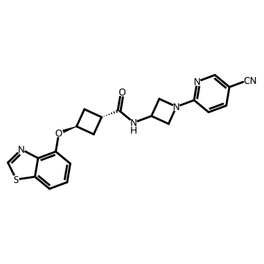 N#Cc1ccc(N2CC(NC(=O)[C@H]3C[C@H](Oc4cccc5scnc45)C3)C2)nc1